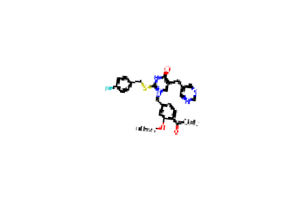 CCCCCCCOc1cc(Cn2cc(Cc3cncnc3)c(=O)nc2SCc2ccc(F)cc2)ccc1C(=O)OC